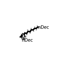 CCCCCCCCCCCCCCCCCCCn1cc[n+](CCCCCCCCCC)c1